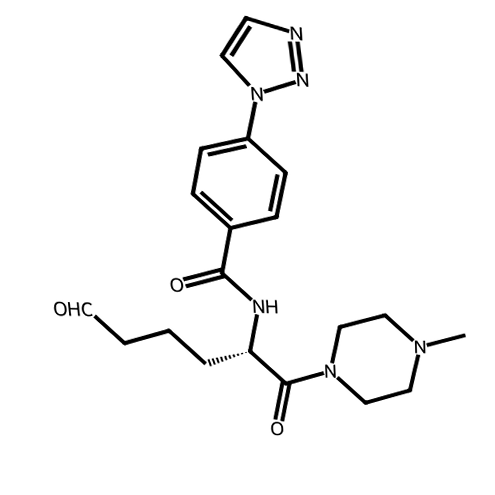 CN1CCN(C(=O)[C@H](CCCC=O)NC(=O)c2ccc(-n3ccnn3)cc2)CC1